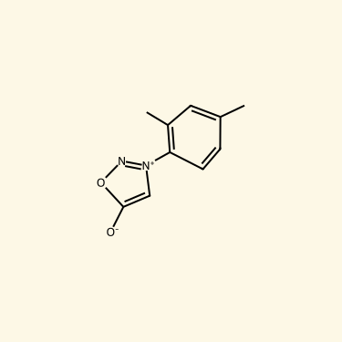 Cc1ccc(-[n+]2cc([O-])on2)c(C)c1